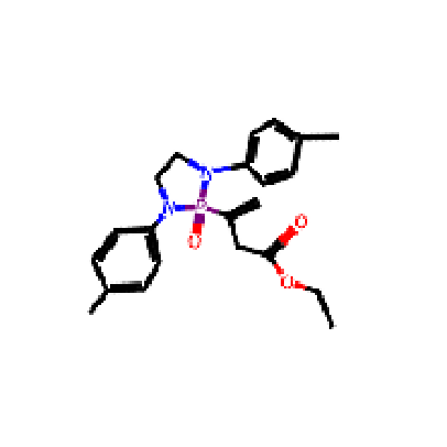 C=C(CC(=O)OCC)P1(=O)N(c2ccc(C)cc2)CCN1c1ccc(C)cc1